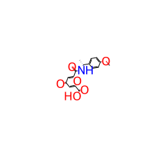 COc1ccc([C@@H](C)NC(=O)c2cc(=O)cc(C(=O)O)o2)cc1